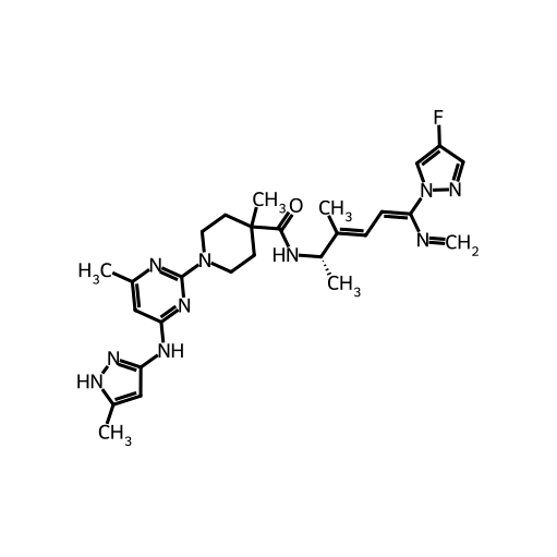 C=N/C(=C\C=C(/C)[C@H](C)NC(=O)C1(C)CCN(c2nc(C)cc(Nc3cc(C)[nH]n3)n2)CC1)n1cc(F)cn1